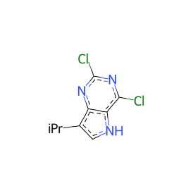 CC(C)c1c[nH]c2c(Cl)nc(Cl)nc12